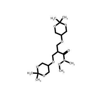 CON(C)C(=O)C(COC1COC(C)(C)OC1)COC1COC(C)(C)OC1